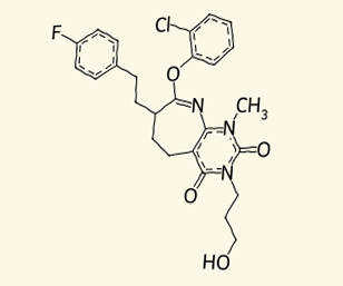 Cn1c2c(c(=O)n(CCCO)c1=O)CCC(CCc1ccc(F)cc1)C(Oc1ccccc1Cl)=N2